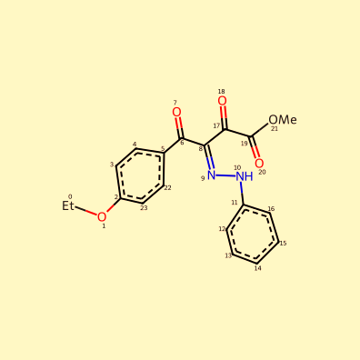 CCOc1ccc(C(=O)C(=NNc2ccccc2)C(=O)C(=O)OC)cc1